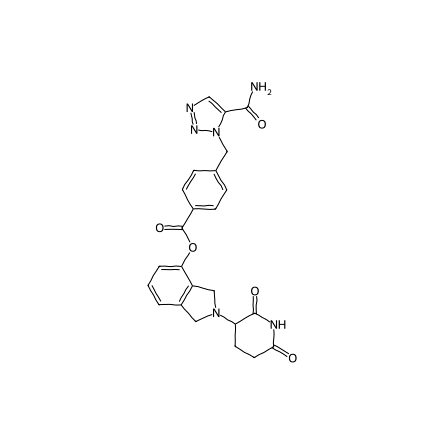 NC(=O)c1cnnn1Cc1ccc(C(=O)Oc2cccc3c2CN(C2CCC(=O)NC2=O)C3)cc1